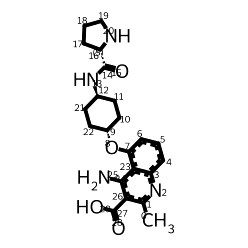 Cc1nc2cccc(O[C@H]3CC[C@H](NC(=O)[C@@H]4CCCN4)CC3)c2c(N)c1C(=O)O